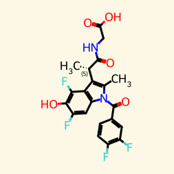 Cc1c([C@H](C)C(=O)NCC(=O)O)c2c(F)c(O)c(F)cc2n1C(=O)c1ccc(F)c(F)c1